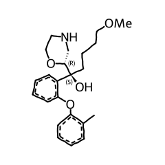 COCCCC[C@](O)(c1ccccc1Oc1ccccc1C)[C@H]1CNCCO1